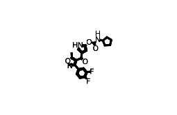 Cc1onc(-c2ccc(F)c(F)c2)c1C(=O)c1c[nH]c(OC(=O)NC2CCCC2)c1